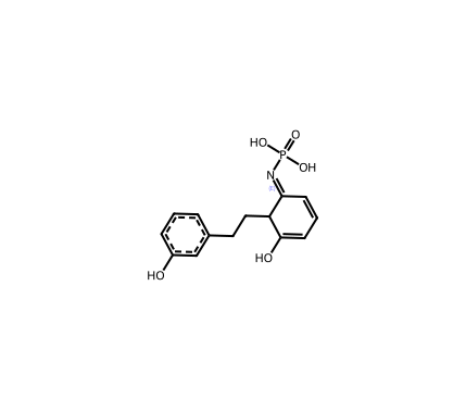 O=P(O)(O)/N=C1\C=CC=C(O)C1CCc1cccc(O)c1